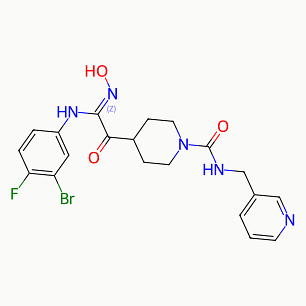 O=C(/C(=N/O)Nc1ccc(F)c(Br)c1)C1CCN(C(=O)NCc2cccnc2)CC1